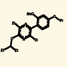 CCc1nc(-c2ccc(OC(C)C)cc2OC)c(CC)nc1OC(CC)CC